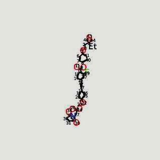 CCC1(CCOc2ccc(OC(=O)c3ccc(C#Cc4ccc(OCOC(=O)CN5C(=O)C=CC5=O)cc4)cc3F)cc2)COC1